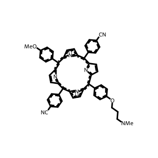 CNCCCOc1ccc(-c2c3nc(c(-c4ccc(C#N)cc4)c4ccc([nH]4)c(-c4ccc(OC)cc4)c4nc(c(-c5ccc(C#N)cc5)c5ccc2[nH]5)C=C4)C=C3)cc1